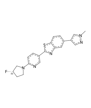 Cn1cc(-c2ccc3sc(-c4ccc(N5CC[C@H](F)C5)nc4)nc3c2)cn1